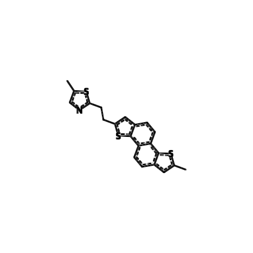 Cc1cnc(CCc2cc3ccc4c(ccc5cc(C)sc54)c3s2)s1